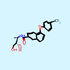 C[C@@H](NC(=O)c1ccc2c(Oc3ccc(C(F)(F)F)cc3)cccc2c1)[C@H](O)CO